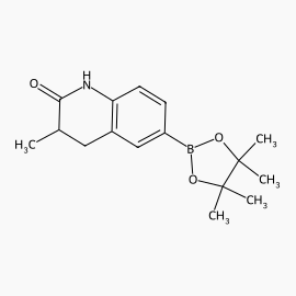 CC1Cc2cc(B3OC(C)(C)C(C)(C)O3)ccc2NC1=O